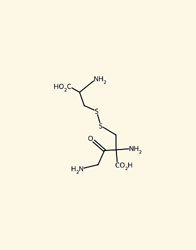 NCC(=O)C(N)(CSSCC(N)C(=O)O)C(=O)O